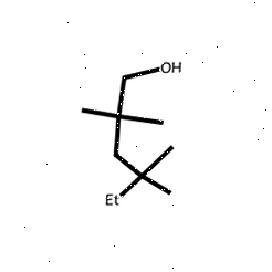 CCC(C)(C)CC(C)(C)CO